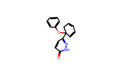 O=c1ccc(C2(Oc3ccccc3)C=CC=CC2)n[nH]1